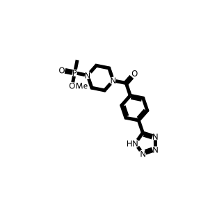 COP(C)(=O)N1CCN(C(=O)c2ccc(-c3nnn[nH]3)cc2)CC1